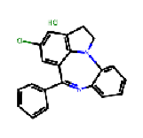 Cl.Clc1cc2c3c(c1)C(c1ccccc1)=Nc1ccccc1N3CC2